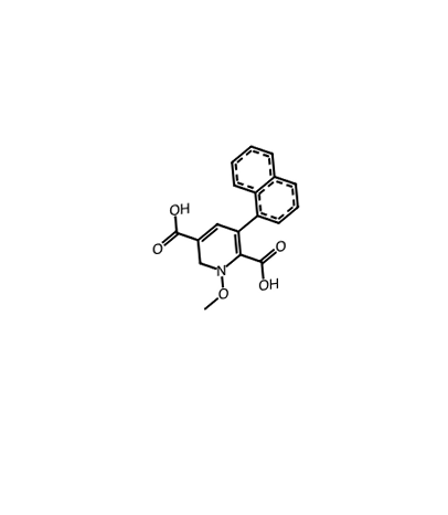 CON1CC(C(=O)O)=CC(c2cccc3ccccc23)=C1C(=O)O